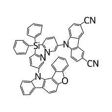 N#Cc1ccc2c(c1)c1cc(C#N)ccc1n2-c1ccc([Si](c2ccccc2)(c2ccccc2)c2ccc(-n3c4ccccc4c4ccc5oc6ccccc6c5c43)cn2)nc1